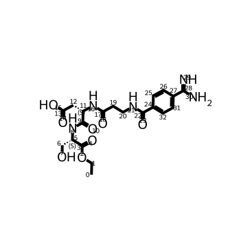 CCOC(=O)[C@H](CO)NC(=O)[C@H](CC(=O)O)NC(=O)CCNC(=O)c1ccc(C(=N)N)cc1